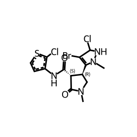 CN1C[C@H](C2=C(Br)C(Cl)NN2C)[C@@H](C(=O)Nc2ccsc2Cl)C1=O